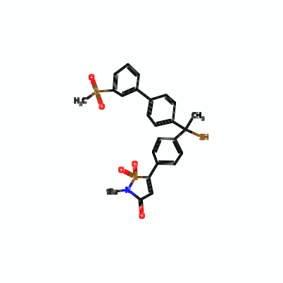 CC(S)(c1ccc(C2=CC(=O)N(C(C)(C)C)S2(=O)=O)cc1)c1ccc(-c2cccc(S(C)(=O)=O)c2)cc1